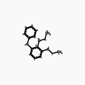 CCOc1cccc(Oc2ccccc2)c1OCC